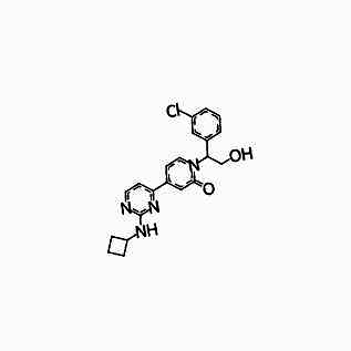 O=c1cc(-c2ccnc(NC3CCC3)n2)ccn1C(CO)c1cccc(Cl)c1